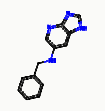 c1ccc(CNc2cnc3nc[nH]c3c2)cc1